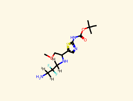 [2H]C([2H])(N)C(F)(F)C([2H])([2H])NC(COC)c1cnc(NC(=O)OC(C)(C)C)s1